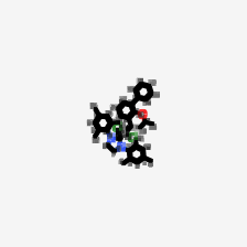 Cc1cc(C)c(N2CCN(c3c(C)cc(C)cc3C)[C]2=[Ru]([Cl])([Cl])=[CH]c2cccc(-c3ccccc3)c2OC(C)C)c(C)c1